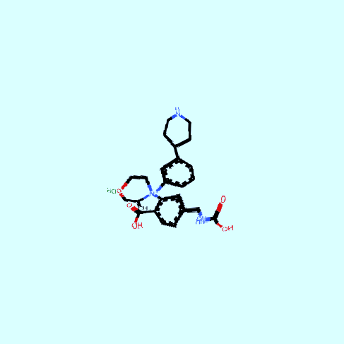 CC1COCC[N+]1(c1cccc(C2CCNCC2)c1)c1cc(CNC(=O)O)ccc1C(=O)O.Cl